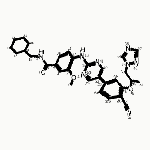 COc1cc(C(=O)NCC2CCCCC2)ccc1Nc1ncc(-c2ccc(C#N)c(OC(C)Cn3cncn3)c2)cn1